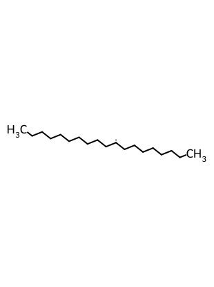 CCCCCCCC[CH]CCCCCCCCCC